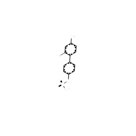 N#Cc1ccc(-c2ccc(OS(N)(=O)=O)cc2)c(N)c1